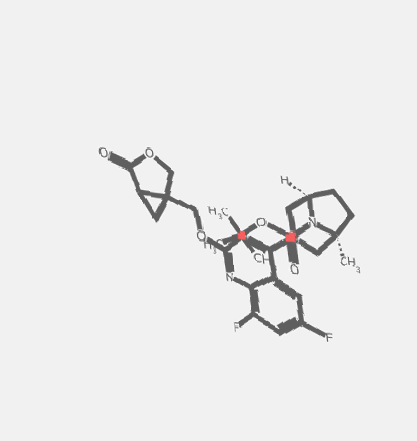 CC(C)(C)OC(=O)N1[C@@H]2CC[C@@]1(C)CN(c1nc(OCC34COC(=O)C3C4)nc3c(F)cc(F)cc13)C2